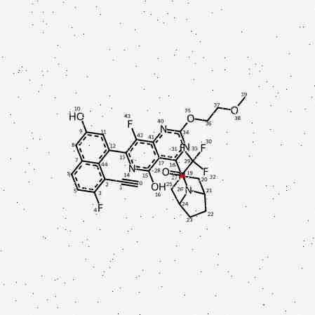 C#Cc1c(F)ccc2cc(O)cc(-c3nc(O)c4c(N5CC6CCC(C5)N6C(=O)C(F)(F)F)nc(OCCOC)nc4c3F)c12